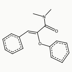 CN(C)C(=O)C(=Cc1ccccc1)Oc1ccccc1